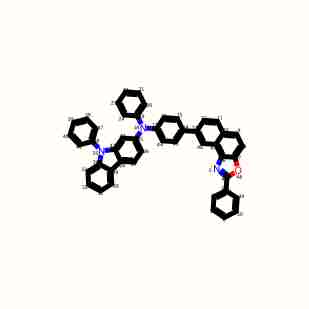 c1ccc(-c2nc3c(ccc4ccc(-c5ccc(N(c6ccccc6)c6ccc7c8ccccc8n(-c8ccccc8)c7c6)cc5)cc43)o2)cc1